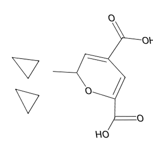 C1CC1.C1CC1.CC1C=C(C(=O)O)C=C(C(=O)O)O1